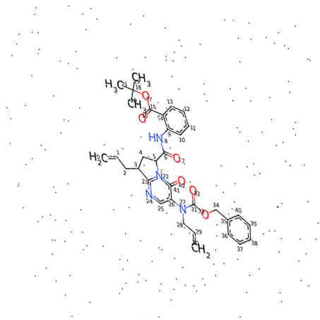 C=CCC1CC(C(=O)Nc2ccccc2C(=O)OC(C)(C)C)n2c1ncc(N(CC=C)C(=O)OCc1ccccc1)c2=O